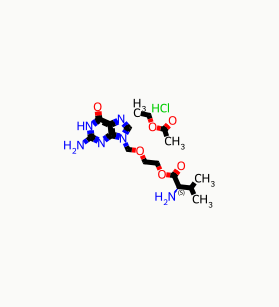 CC(C)[C@H](N)C(=O)OCCOCn1cnc2c(=O)[nH]c(N)nc21.CCOC(C)=O.Cl